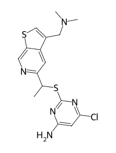 CC(Sc1nc(N)cc(Cl)n1)c1cc2c(CN(C)C)csc2cn1